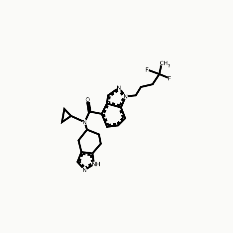 CC(F)(F)CCCn1ncc2c(C(=O)N(C3CC3)C3CCc4[nH]ncc4C3)cccc21